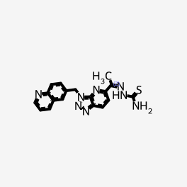 C/C(=N/NC(N)=S)c1ccc2nnn(Cc3ccc4ncccc4c3)c2n1